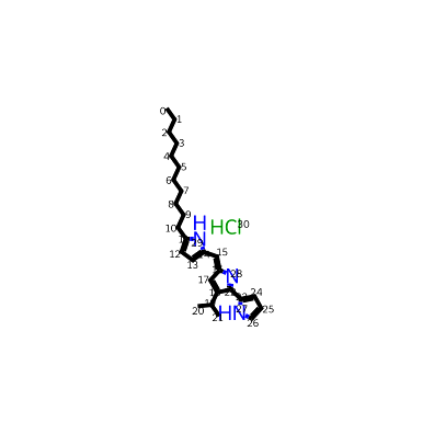 CCCCCCCCCCCc1ccc(/C=C2\C=C(C(C)C)C(c3ccc[nH]3)=N2)[nH]1.Cl